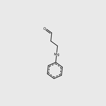 O=CC[CH2][Mg][c]1ccccc1